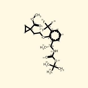 COC(=O)C1(CCOc2c([C@@H](C)NC(=O)OC(C)(C)C)cccc2C(F)(F)F)CC1